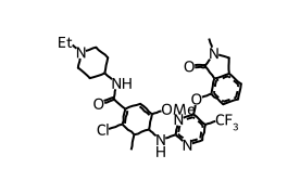 CCN1CCC(NC(=O)C2=C(Cl)C(C)C(Nc3ncc(C(F)(F)F)c(Oc4cccc5c4C(=O)N(C)C5)n3)C(OC)=C2)CC1